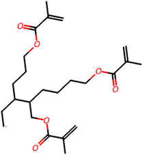 [CH2]CC(CCCOC(=O)C(=C)C)C(CCCCOC(=O)C(=C)C)COC(=O)C(=C)C